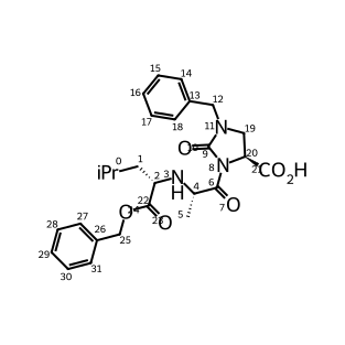 CC(C)C[C@H](N[C@@H](C)C(=O)N1C(=O)N(Cc2ccccc2)C[C@H]1C(=O)O)C(=O)OCc1ccccc1